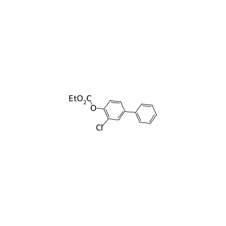 CCOC(=O)Oc1ccc(-c2ccccc2)cc1Cl